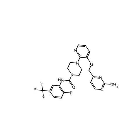 Nc1nccc(COc2cccnc2N2CCN(C(=O)Nc3cc(C(F)(F)F)ccc3F)CC2)n1